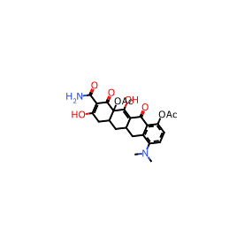 CC(=O)Oc1ccc(N(C)C)c2c1C(=O)C1=C(O)C3(OC(C)=O)C(=O)C(C(N)=O)=C(O)CC3CC1C2